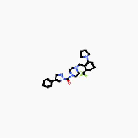 O=C(N1CCN(Cc2c(N3CCCC3)cccc2C(F)(F)F)CC1)n1cc(-c2ccccc2)cn1